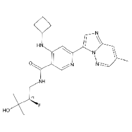 Cc1cnn2c(-c3cc(NC4CCC4)c(C(=O)NC[C@@H](F)C(C)(C)O)cn3)cnc2c1